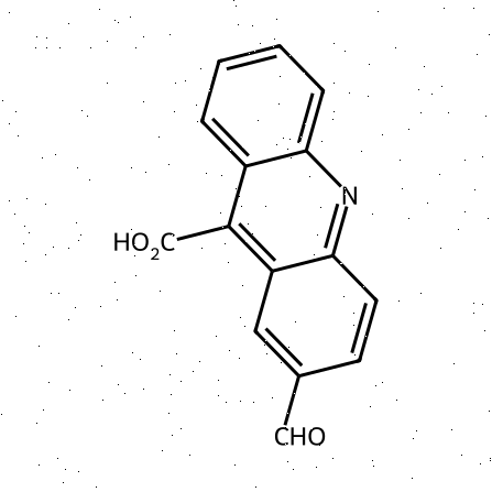 O=Cc1ccc2nc3ccccc3c(C(=O)O)c2c1